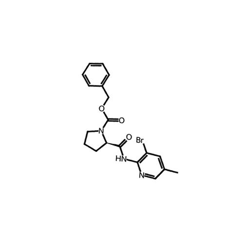 Cc1cnc(NC(=O)[C@H]2CCCN2C(=O)OCc2ccccc2)c(Br)c1